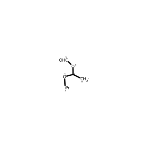 [CH2]C(OC=O)OC(C)C